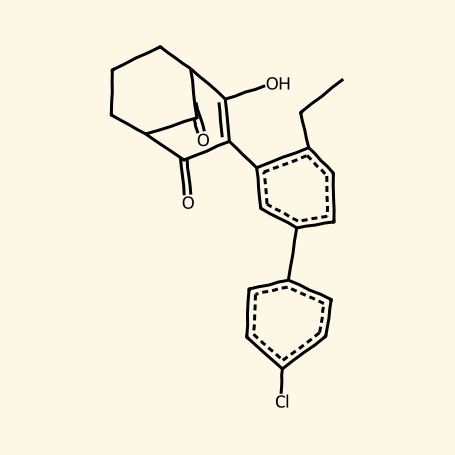 CCc1ccc(-c2ccc(Cl)cc2)cc1C1=C(O)C2CCCC(C1=O)C2=O